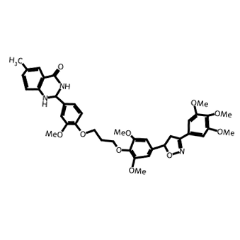 COc1cc(C2NC(=O)c3cc(C)ccc3N2)ccc1OCCCOc1c(OC)cc(C2CC(c3cc(OC)c(OC)c(OC)c3)=NO2)cc1OC